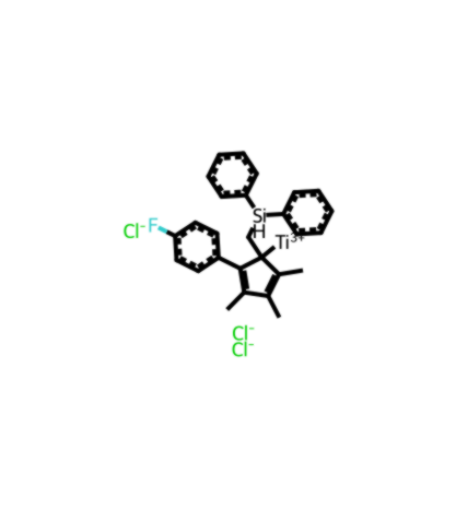 CC1=C(C)[C]([Ti+3])(C[SiH](c2ccccc2)c2ccccc2)C(c2ccc(F)cc2)=C1C.[Cl-].[Cl-].[Cl-]